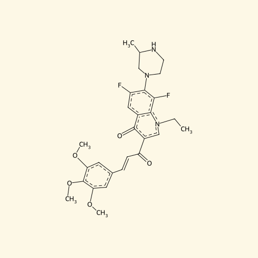 CCn1cc(C(=O)C=Cc2cc(OC)c(OC)c(OC)c2)c(=O)c2cc(F)c(N3CCNC(C)C3)c(F)c21